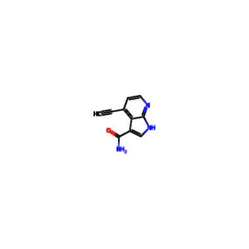 C#Cc1ccnc2[nH]cc(C(N)=O)c12